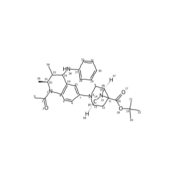 CC(=O)N1c2ccc(N3C[C@H]4CC[C@@H]3CN4C(=O)OC(C)(C)C)cc2C(Nc2ccccc2)C(C)[C@@H]1C